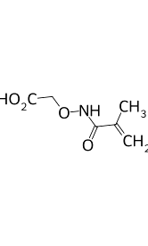 C=C(C)C(=O)NOCC(=O)O